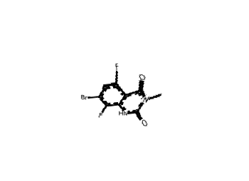 Cn1c(=O)[nH]c2c(F)c(Br)cc(F)c2c1=O